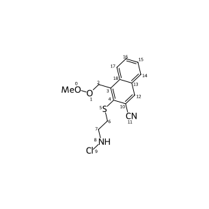 COOCc1c(SCCNCl)c(C#N)cc2ccccc12